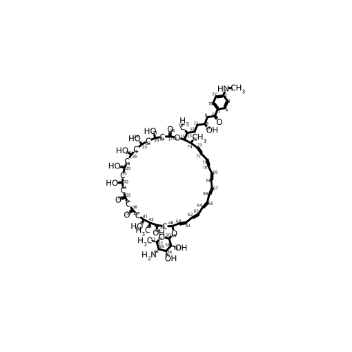 CNc1ccc(C(=O)CC(O)CCC(C)C2OC(=O)CC(O)CC(O)CC(O)CC(O)CC(O)CC(=O)CC(=O)CC(O)C(C)C(O)CC(OC3O[C@H](C)[C@@H](N)[C@H](O)[C@@H]3O)/C=C/C=C/C=C/C=C/C=C/C=C/C=C/C2C)cc1